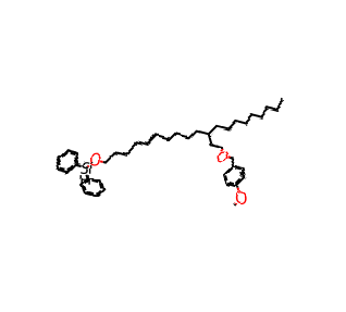 CCCCCCCCCC(CCCCCCCCCCO[SiH](c1ccccc1)c1ccccc1)CCOCc1ccc(OC)cc1